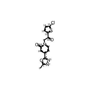 Cc1nnc(-c2ccn(CC(=O)c3ccc(Cl)s3)c(=O)c2)o1